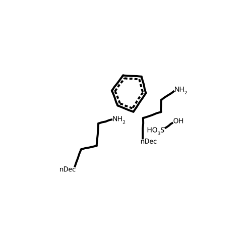 CCCCCCCCCCCCCN.CCCCCCCCCCCCCN.O=S(=O)(O)O.c1ccccc1